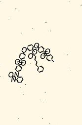 Cc1ccc(S(=O)(=O)c2ccc(Oc3ccc(Oc4ccc(S(=O)(=O)c5ccc(-n6c(=O)n(C)c7ccccc76)cc5)cc4)cc3OC(=O)/C=C/C=C/c3ccccc3)cc2)cc1